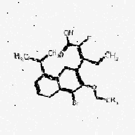 CCOC1=C(/C(CC)=C(/F)C(=O)O)CC2=C(C(C)C)C=CCC2=C1Br